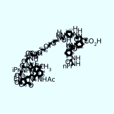 CCCNC(=O)Nc1cccc(S(=O)(=O)Nc2cccc([C@H](CC(=O)O)NC(=O)Nc3ccc(NC(O)NCCOCCOCCOCCC(=O)N[C@@H](CC(=O)O)C(=O)N4CCC[C@H]4C(=O)N[C@H](C(=O)O[C@]4(CC)C(=O)OCc5c4cc4n(c5=O)Cc5c-4nc4cc(F)c(C)c6c4c5[C@@H](NC(C)=O)CC6)C(C)C)cc3)c2)c1